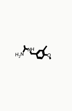 COc1ccc(CNC(C)N)cc1C